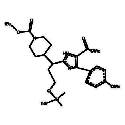 COC(=O)c1[nH]c(C(CCO[Si](C)(C)C(C)(C)C)C2CCN(C(=O)OC(C)(C)C)CC2)nc1-c1ccc(OC)cc1